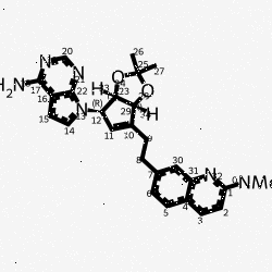 CNc1ccc2ccc(CCC3=C[C@@H](n4ccc5c(N)ncnc54)[C@@H]4OC(C)(C)O[C@H]34)cc2n1